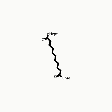 CCCCCCCC(=O)/C=C/CCCCCCCC(=O)OC